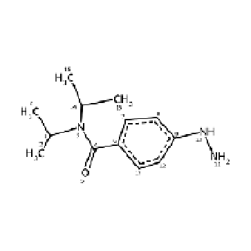 CC(C)N(C(=O)c1ccc(NN)cc1)C(C)C